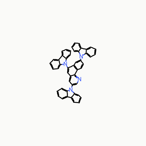 c1ccc2c(c1)c1ccccc1n2-c1cnc2c(c1)cc(-n1c3ccccc3c3ccccc31)c1cc(-n3c4ccccc4c4ccccc43)ccc12